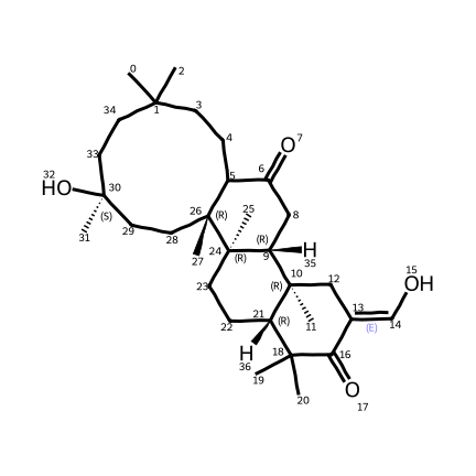 CC1(C)CCC2C(=O)C[C@@H]3[C@@]4(C)C/C(=C\O)C(=O)C(C)(C)[C@@H]4CC[C@@]3(C)[C@]2(C)CC[C@@](C)(O)CC1